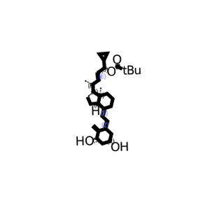 C=C1/C(=C\C=C2/CCC[C@]3(C)[C@@H]([C@H](C)/C=C/[C@@H](OC(=O)C(C)(C)C)C4CC4)CC[C@@H]23)C[C@@H](O)C[C@@H]1O